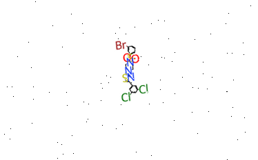 O=S(=O)(c1cccc(Br)c1)N1CCN(c2nc(-c3cc(Cl)cc(Cl)c3)cs2)CC1